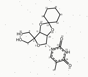 Cc1cn([C@@H]2OC(CO)(CO)C3OC4(CCCCC4)OC32)c(=O)[nH]c1=O